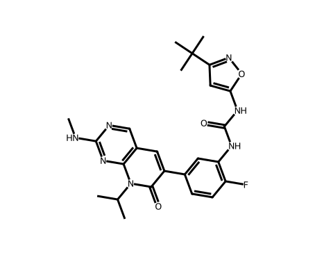 CNc1ncc2cc(-c3ccc(F)c(NC(=O)Nc4cc(C(C)(C)C)no4)c3)c(=O)n(C(C)C)c2n1